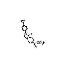 CC(C)C(C(=O)O)N1CCC2(CCN(c3ccc(C4CC4)cc3)C2=O)CC1